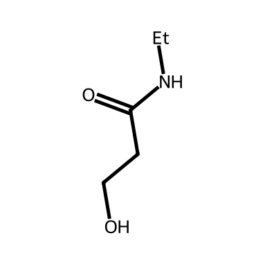 [CH2]CNC(=O)CCO